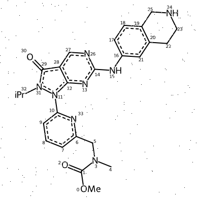 COC(=O)N(C)Cc1cccc(-n2c3nc(Nc4ccc5c(c4)CCNC5)ncc3c(=O)n2C(C)C)n1